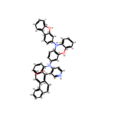 c1ccc(N(c2ccc3c(c2)Oc2ccccc2N3c2ccc3c(c2)oc2ccccc23)c2ccncc2-c2cccc3c2ccc2ccccc23)cc1